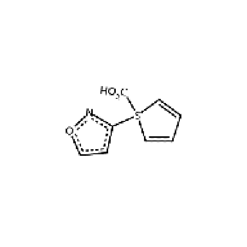 O=C(O)S1(c2ccon2)C=CC=C1